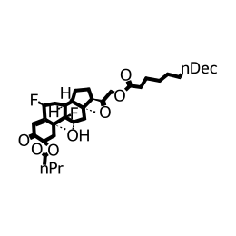 CCCCCCCCCCCCCCCC(=O)OCC(=O)[C@@H]1CC[C@H]2[C@@H]3C[C@H](F)C4=CC(=O)C5(C[C@]4(C)[C@@]3(F)[C@@H](O)C[C@]12C)OC(CCC)O5